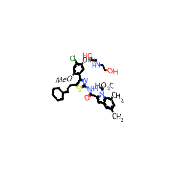 COc1cc(-c2nc(NC(=O)c3cc4cc(C)cc(C)c4n3CC(=O)O)sc2CCC2CCCCC2)c(OC)cc1Cl.OCCNCCO